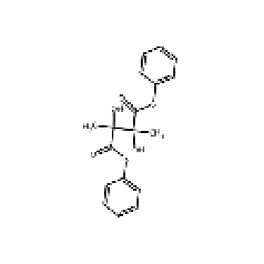 CC(O)(C(=O)Sc1ccccc1)C(C)(O)C(=O)Sc1ccccc1